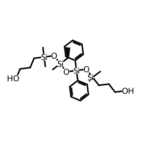 C=C[Si](C)(O[Si](C)(C)CCCO)O[Si](O[Si](C)(C)CCCO)(c1ccccc1)c1ccccc1